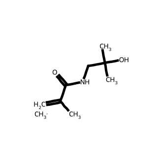 C=C(C)C(=O)NCC(C)(C)O.[CH3]